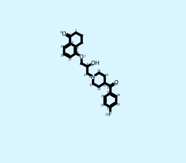 O=C1CCCc2c(OCC(O)CN3CCC(C(=O)c4ccc(F)cc4)CC3)cccc21